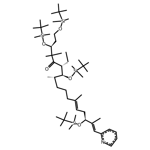 CC[C@@H](C(=O)C(C)(C)[C@H](CCO[Si](C)(C)C(C)(C)C)O[Si](C)(C)C(C)(C)C)[C@@H](O[Si](C)(C)C(C)(C)C)[C@@H](C)CCC/C(C)=C/C[C@H](O[Si](C)(C)C(C)(C)C)/C(C)=C/c1ccccn1